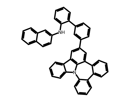 c1cc(-c2cc3c4c(c2)c2ccccc2n4-c2ccccc2-c2ccccc2-3)cc(-c2ccccc2Nc2ccc3ccccc3c2)c1